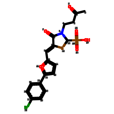 CC(=O)CCN1C(=O)C(=Cc2ccc(-c3ccc(Br)cc3)o2)SC1S(=O)(=O)O